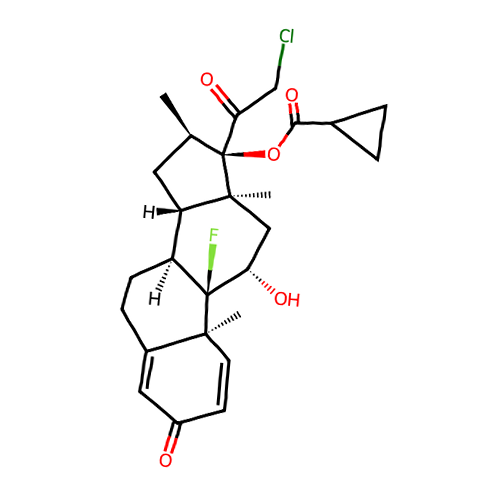 C[C@@H]1C[C@H]2[C@@H]3CCC4=CC(=O)C=C[C@]4(C)[C@@]3(F)[C@@H](O)C[C@]2(C)[C@@]1(OC(=O)C1CC1)C(=O)CCl